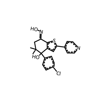 CC1(C)CC(=NO)c2sc(-c3ccncc3)cc2C1(O)c1ccc(Cl)cc1